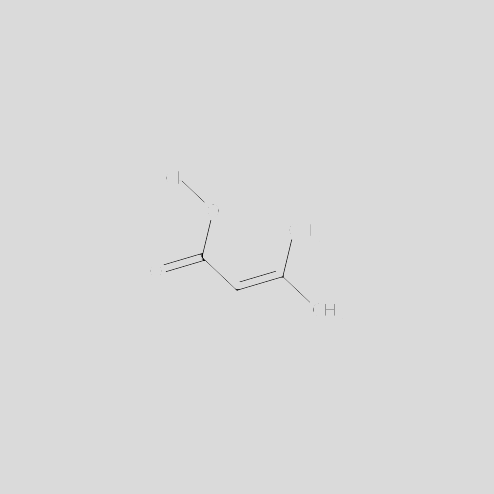 CC(C)=CC(=O)OCl